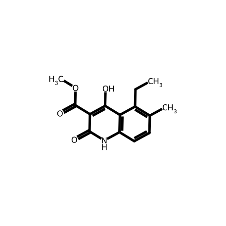 CCc1c(C)ccc2[nH]c(=O)c(C(=O)OC)c(O)c12